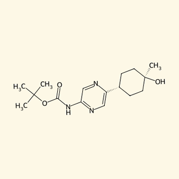 CC(C)(C)OC(=O)Nc1cnc([C@H]2CC[C@](C)(O)CC2)cn1